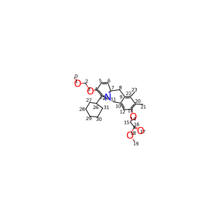 COCOc1ccc(Cc2c(C)cc(OCC(=O)OC)c(C)c2C)nc1C1CCCCC1